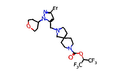 CCc1cc(CN2CCC3(CCN(C(=O)OC(C(F)(F)F)C(F)(F)F)CC3)C2)n(C2CCOCC2)n1